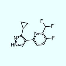 Fc1ccc(-c2c[nH]nc2C2CC2)nc1C(F)F